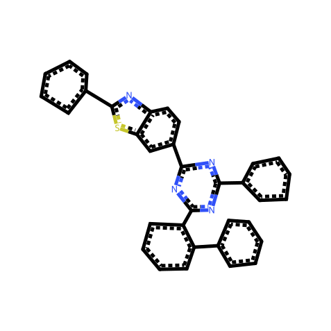 c1ccc(-c2nc(-c3ccc4nc(-c5ccccc5)sc4c3)nc(-c3ccccc3-c3ccccc3)n2)cc1